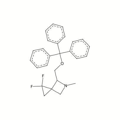 CN1CC2(CC2(F)F)C1COC(c1ccccc1)(c1ccccc1)c1ccccc1